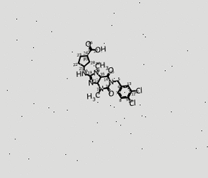 CN1C(=O)N(Cc2ccc(Cl)c(Cl)c2)C(=O)C2C1N=C(NC1CC[C@@H](C(=O)O)C1)N2C